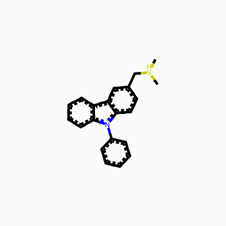 C[SH](C)Cc1ccc2c(c1)c1ccccc1n2-c1ccccc1